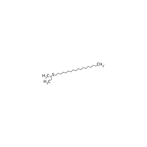 [CH2]CCCCCCCCCCCCCCCCCSC(C)CC